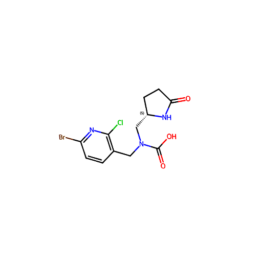 O=C1CC[C@@H](CN(Cc2ccc(Br)nc2Cl)C(=O)O)N1